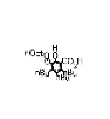 CCCCCCCCOOc1c(O)c(C(=O)O)c(CCCC)c(CCCC)c1CCCC